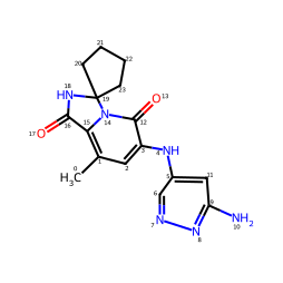 Cc1cc(Nc2cnnc(N)c2)c(=O)n2c1C(=O)NC21CCCC1